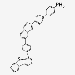 Pc1ccc(-c2ccc(-c3ccc4ccc(-c5ccc(-c6cccc7c6sc6ccccc67)cc5)cc4c3)cc2)cc1